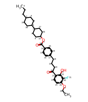 CCCC1CCC(C2CCC(OC(=O)c3ccc(CCCC(=O)c4ccc(OCC)c(F)c4O)cc3)CC2)CC1